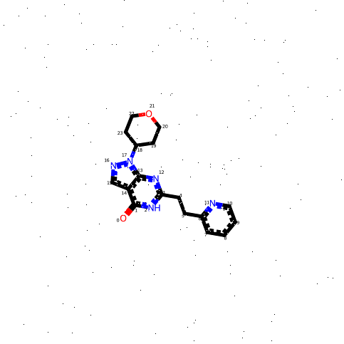 O=c1[nH]c(CCc2ccccn2)nc2c1cnn2C1CCOCC1